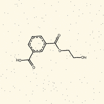 O=C(O)c1cccc(C(=O)OCCO)c1